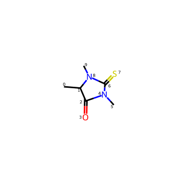 CC1C(=O)N(C)C(=S)N1C